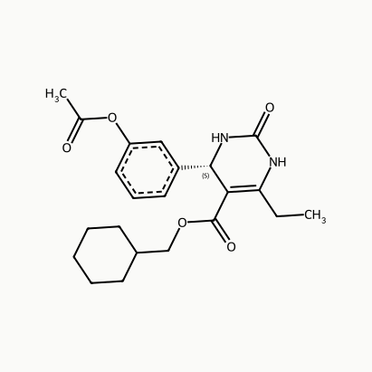 CCC1=C(C(=O)OCC2CCCCC2)[C@H](c2cccc(OC(C)=O)c2)NC(=O)N1